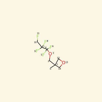 CC1(COC(F)(F)C(F)(F)CF)COC1